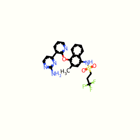 Cc1cc(NS(=O)(=O)CCC(F)(F)F)c2ccccc2c1Oc1ncccc1-c1ccnc(N)n1